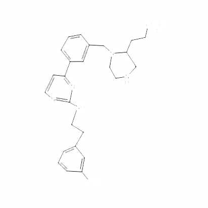 O=C(O)CCC1CNCCN1Cc1cccc(-c2ccnc(NCCc3cccc(O)c3)n2)c1